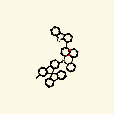 Cc1ccc2c(c1)C1(c3ccccc3-c3ccccc31)c1cc(N(c3ccc(-c4cccc5c4oc4ccccc45)cc3)c3ccccc3-c3ccccc3)ccc1-2